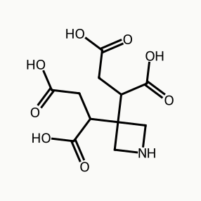 O=C(O)CC(C(=O)O)C1(C(CC(=O)O)C(=O)O)CNC1